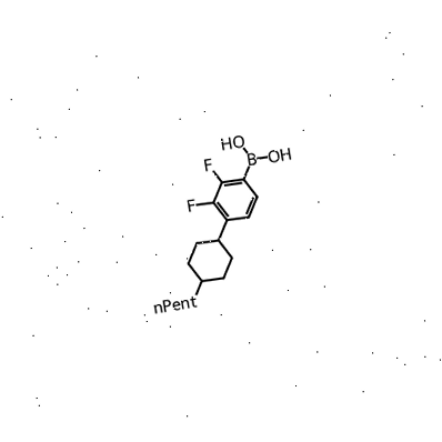 CCCCCC1CCC(c2ccc(B(O)O)c(F)c2F)CC1